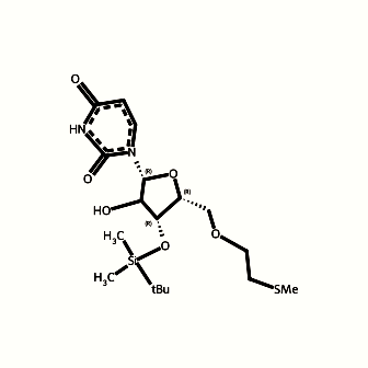 CSCCOC[C@H]1O[C@@H](n2ccc(=O)[nH]c2=O)C(O)[C@H]1O[Si](C)(C)C(C)(C)C